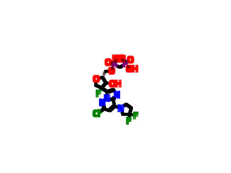 O=P(O)(O)CP(=O)(O)OC[C@H]1OC[C@@](F)(c2cnc3c(N4CCC(F)(F)C4)cc(Cl)nn23)[C@@H]1O